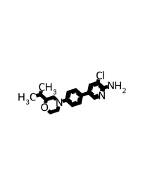 CC(C)C1CN(c2ccc(-c3cnc(N)c(Cl)c3)cc2)CCO1